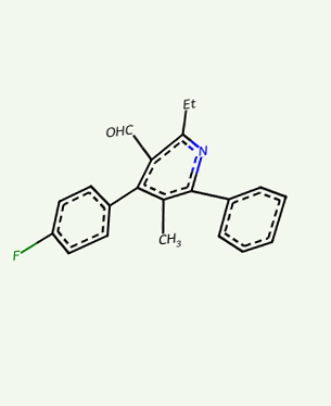 CCc1nc(-c2ccccc2)c(C)c(-c2ccc(F)cc2)c1C=O